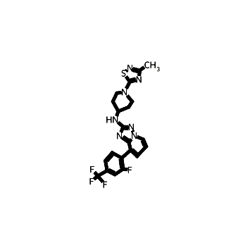 Cc1nsc(N2CCC(Nc3nc4c(-c5ccc(C(F)(F)F)cc5F)cccn4n3)CC2)n1